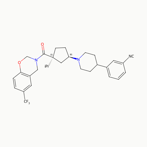 [C-]#[N+]c1cccc(C2CCN([C@@H]3CC[C@@](C(=O)N4COc5ccc(C(F)(F)F)cc5C4)(C(C)C)C3)CC2)c1